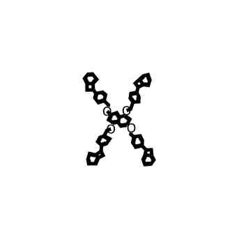 c1ccc2c(c1)CC2c1ccc(COc2cc(OCc3ccc(C4Cc5ccccc54)cc3)c3cc(OCc4ccc(C5Cc6ccccc65)cc4)cc(OCc4ccc(C5Cc6ccccc65)cc4)c3c2)cc1